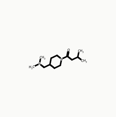 CC(C)CC(=O)N1CCC(CN(C)C)CC1